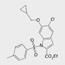 CCOC(=O)c1cc2cc(Cl)c(OCC3CC3)cc2n1S(=O)(=O)c1ccc(C)cc1